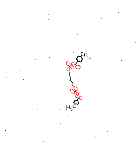 Cc1ccc(C(=O)OOC(=O)OCCCCCCOC(=O)OOC(=O)c2ccc(C)cc2)cc1